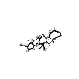 CC1(C)C2COc3ccccc3C2N=C2Sc3cc(Br)ccc3N21